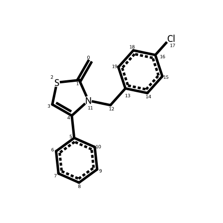 C=C1SC=C(c2ccccc2)N1Cc1ccc(Cl)cc1